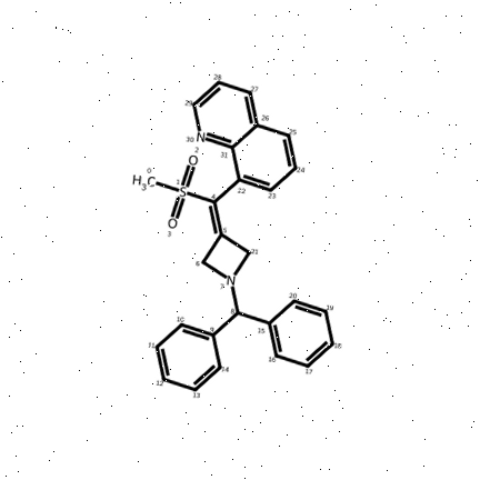 CS(=O)(=O)C(=C1CN(C(c2ccccc2)c2ccccc2)C1)c1cccc2cccnc12